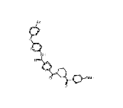 COc1ccc(C(=O)C2CCCN(C(=O)c3ccc(C(=O)Nc4ccc(Oc5ccc(C(C)=O)cc5)nc4)cn3)C2)cc1